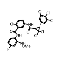 CONc1cc(F)ccc1NC(=O)c1cc(NC(=O)C2[C@H](c3cc(Cl)c(Cl)c(Cl)c3)C2(Cl)Cl)ccc1Cl